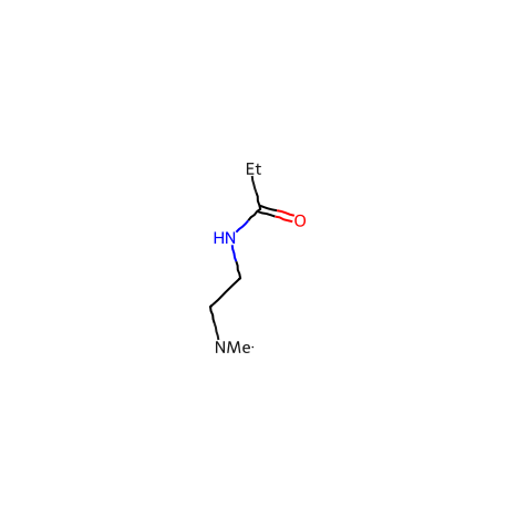 CCC(=O)NCC[N]C